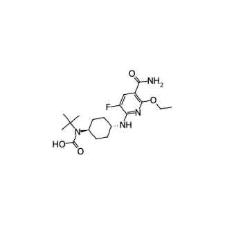 CCOc1nc(N[C@H]2CC[C@H](N(C(=O)O)C(C)(C)C)CC2)c(F)cc1C(N)=O